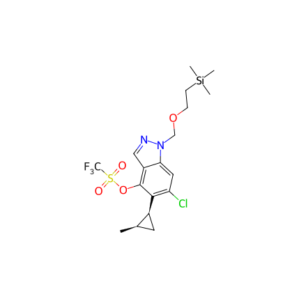 C[C@@H]1C[C@@H]1c1c(Cl)cc2c(cnn2COCC[Si](C)(C)C)c1OS(=O)(=O)C(F)(F)F